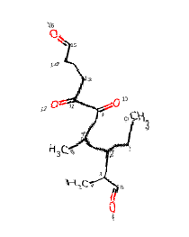 CCC(C(C)[C]=O)C(C)C(=O)C(=O)CCC=O